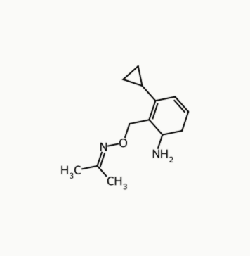 CC(C)=NOCC1=C(C2CC2)C=CCC1N